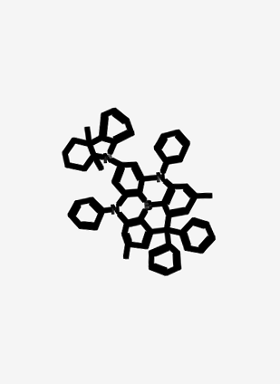 Cc1cc2c3c(c1)C(c1ccccc1)(c1ccccc1)c1cc(C)cc4c1B3c1c(cc(N3c5ccccc5C5(C)CCCCC35C)cc1N4c1ccccc1)N2c1ccccc1